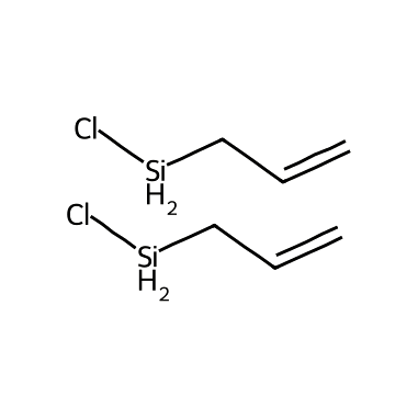 C=CC[SiH2]Cl.C=CC[SiH2]Cl